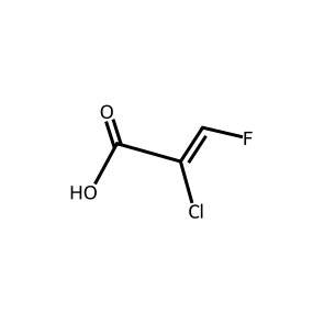 O=C(O)C(Cl)=CF